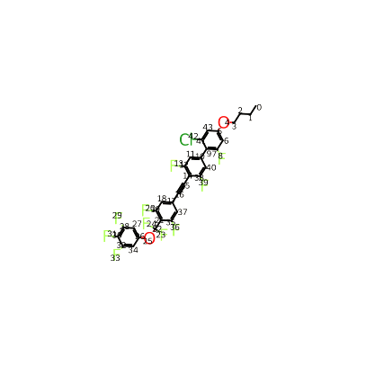 CCCCOc1cc(F)c(-c2cc(F)c(C#Cc3cc(F)c(C(F)(F)Oc4cc(F)c(F)c(F)c4)c(F)c3)c(F)c2)c(Cl)c1